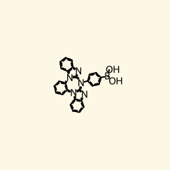 OB(O)c1ccc(-n2c3nc4ccccc4n3c3ccccc3n3c4ccccc4nc23)cc1